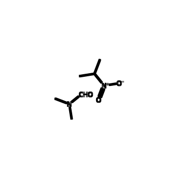 CC(C)[N+](=O)[O-].CN(C)C=O